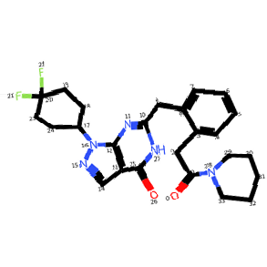 O=C(Cc1ccccc1Cc1nc2c(cnn2C2CCC(F)(F)CC2)c(=O)[nH]1)N1CCCCC1